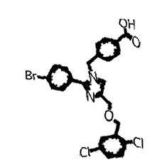 O=C(O)c1ccc(Cn2cc(COCc3cc(Cl)ccc3Cl)nc2-c2ccc(Br)cc2)cc1